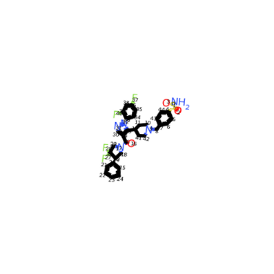 NS(=O)(=O)c1ccc(CN2CCC(c3c(C(=O)N4C[C@@H](c5ccccc5)C(F)(F)C4)cnn3-c3ccc(F)cc3F)CC2)cc1